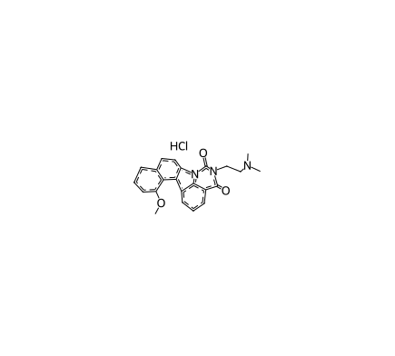 COc1cccc2ccc3c(c4cccc5c(=O)n(CCN(C)C)c(=O)n3c54)c12.Cl